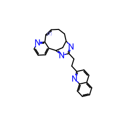 C1=C\c2ncccc2C2=NC(CCc3ccc4ccccc4n3)=NC(CC/1)C2